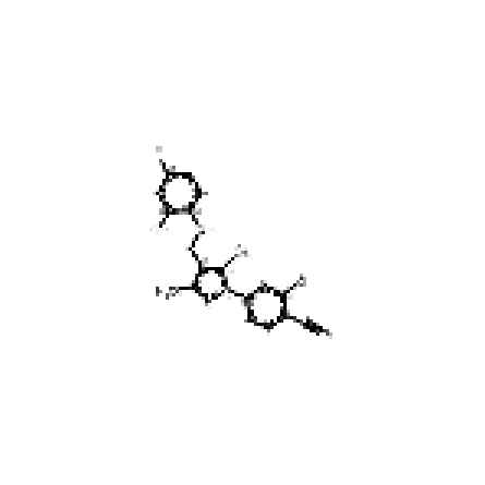 Cc1nn(-c2ccc(C#N)c(Cl)c2)c(C)c1COc1ccc(F)cc1Cl